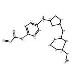 C=CC(=O)Oc1cnc(NC2CCN(CC3CCCC(CO)C3)C2)cn1